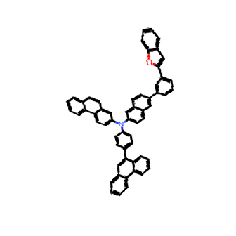 c1cc(-c2ccc3cc(N(c4ccc(-c5cc6ccccc6c6ccccc56)cc4)c4ccc5c(ccc6ccccc65)c4)ccc3c2)cc(-c2cc3ccccc3o2)c1